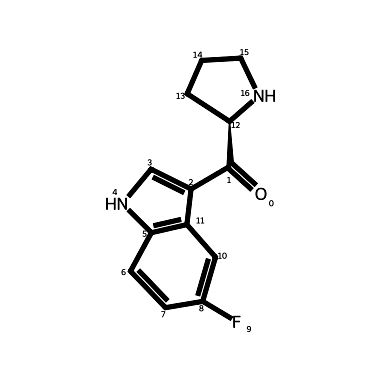 O=C(c1c[nH]c2ccc(F)cc12)[C@H]1CCCN1